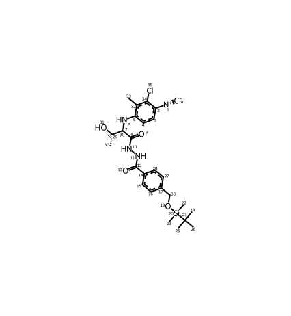 [C-]#[N+]c1ccc(N[C@@H](C(=O)NNC(=O)c2ccc(CO[Si](C)(C)C(C)(C)C)cc2)[C@H](C)O)c(C)c1Cl